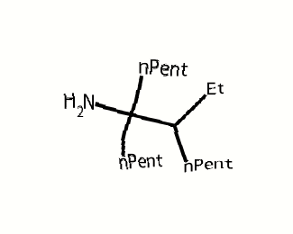 CCCCCC(CC)C(N)(CCCCC)CCCCC